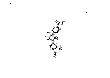 [C-]#[N+]c1ccc(N2C(=O)C3(CCC3)N(c3ccc(C(=O)OC)cc3)C2=S)cc1C(F)(F)F